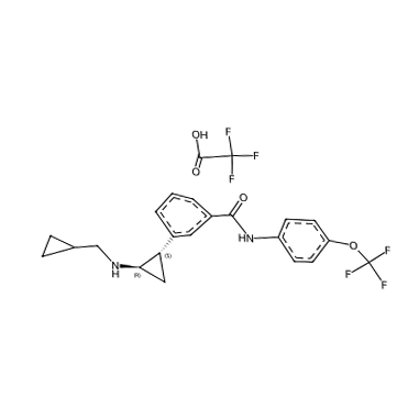 O=C(Nc1ccc(OC(F)(F)F)cc1)c1cccc([C@@H]2C[C@H]2NCC2CC2)c1.O=C(O)C(F)(F)F